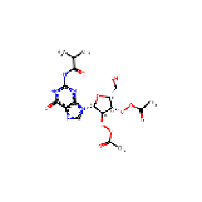 CC(=O)OO[C@@H]1[C@@H](OOC(C)=O)[C@@H](CO)O[C@H]1n1cnc2c(=O)[nH]c(NC(=O)C(C)C)nc21